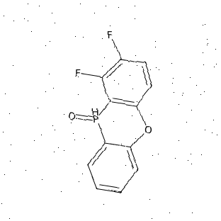 O=[PH]1c2ccccc2Oc2ccc(F)c(F)c21